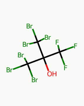 OC(C(F)(F)F)(C(Br)(Br)Br)C(Br)(Br)Br